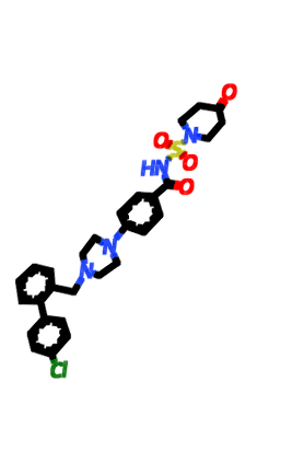 O=C1CCN(S(=O)(=O)NC(=O)c2ccc(N3CCN(Cc4ccccc4-c4ccc(Cl)cc4)CC3)cc2)CC1